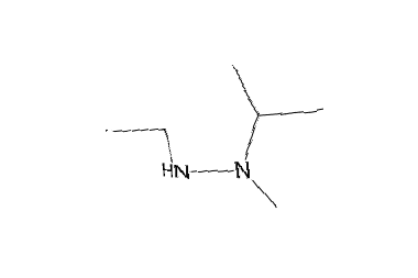 [CH2]CNN(C)C(C)C